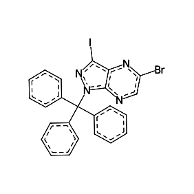 Brc1cnc2c(n1)c(I)nn2C(c1ccccc1)(c1ccccc1)c1ccccc1